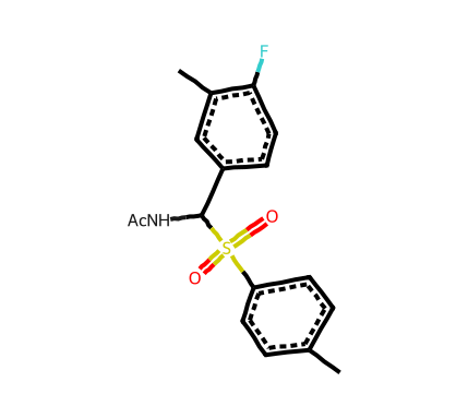 CC(=O)NC(c1ccc(F)c(C)c1)S(=O)(=O)c1ccc(C)cc1